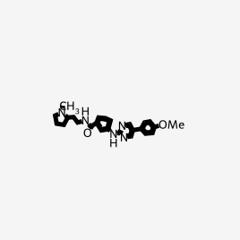 COc1ccc(-c2cnc(Nc3cccc(C(=O)NCCC4CCCN4C)c3)nc2)cc1